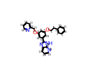 c1ccc(CCOc2cc(OCc3ccccn3)cc(-c3nc4cccnc4[nH]3)c2)cc1